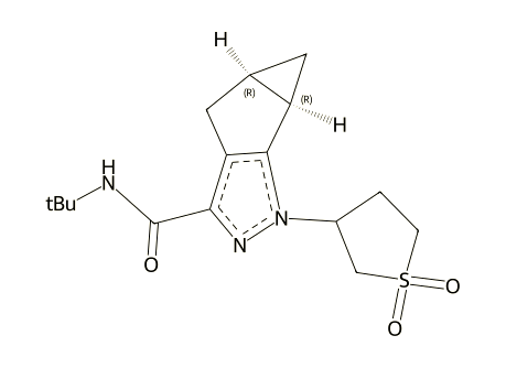 CC(C)(C)NC(=O)c1nn(C2CCS(=O)(=O)C2)c2c1C[C@H]1C[C@@H]21